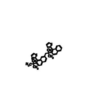 CC(C)(C)c1ccc2ccc(CC(C)(C)c3ccc4ccccc4c3-c3cccs3)cc2c1-c1nccs1